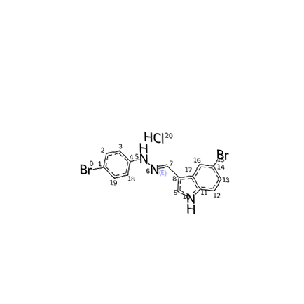 Brc1ccc(N/N=C/c2c[nH]c3ccc(Br)cc23)cc1.Cl